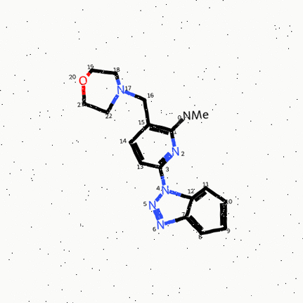 CNc1nc(-n2nnc3ccccc32)ccc1CN1CCOCC1